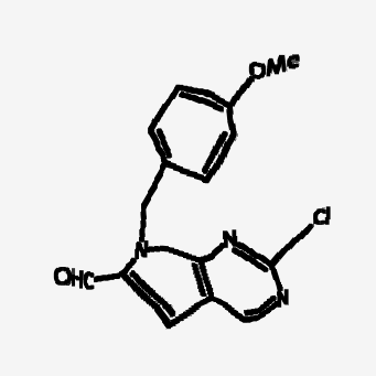 COc1ccc(Cn2c(C=O)cc3cnc(Cl)nc32)cc1